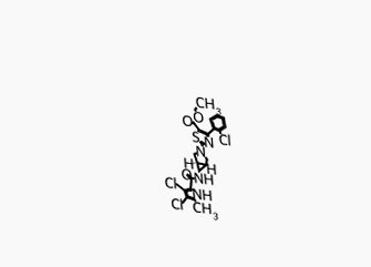 CCOC(=O)c1sc(N2C[C@@H]3[C@H](C2)[C@H]3NC(=O)c2[nH]c(C)c(Cl)c2Cl)nc1-c1ccccc1Cl